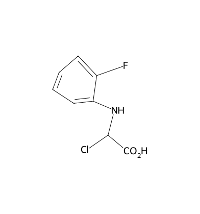 O=C(O)C(Cl)Nc1ccccc1F